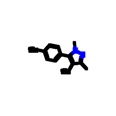 Cc1nn(C)c(-c2ccc(C(C)(C)C)cc2)c1C(C)(C)C